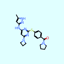 Cc1cc(Nc2cc(N3CCC3)nc(Sc3ccc(C(=O)N4CCCC4)cc3)n2)n[nH]1